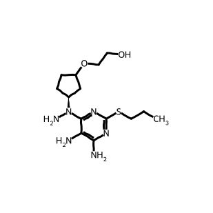 CCCSc1nc(N)c(N)c(N(N)[C@H]2CCC(OCCO)C2)n1